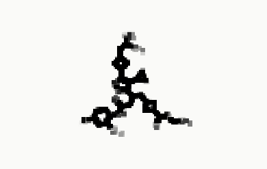 CCOC(=O)C1CC(CC(CC(=O)Nc2ccc(C)cc2C)c2noc(C3CC(CC(C)C)C3)c2C2CC2)C1